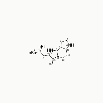 CCCCC(CC)CC1NC2C3CCNC3CCC2C1C